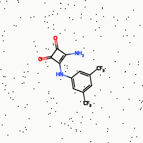 Nc1c(Nc2cc(C(F)(F)F)cc(C(F)(F)F)c2)c(=O)c1=O